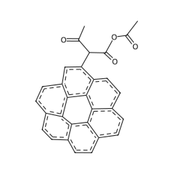 CC(=O)OC(=O)C(C(C)=O)c1cc2ccc3ccc4ccc5ccc6ccc1c1c6c5c4c3c21